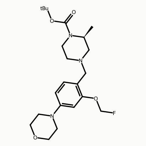 C[C@H]1CN(Cc2ccc(N3CCOCC3)cc2OCF)CCN1C(=O)OC(C)(C)C